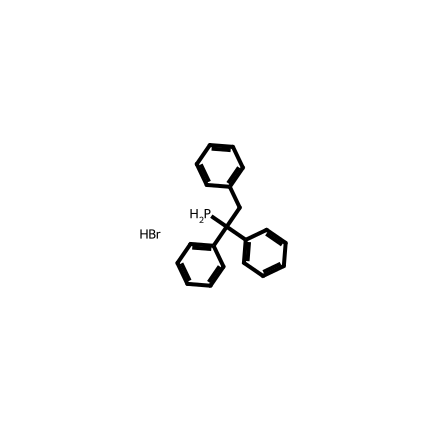 Br.PC(Cc1ccccc1)(c1ccccc1)c1ccccc1